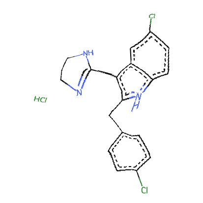 Cl.Clc1ccc(Cc2[nH]c3ccc(Cl)cc3c2C2=NCCN2)cc1